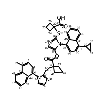 Cc1ccc(-n2ccnc2SC2(C(=O)Oc3cnc(SC4(C(=O)O)CCC4)n3-c3ccc(C4CC4)c4ccccc34)CCC2)c2ccccc12